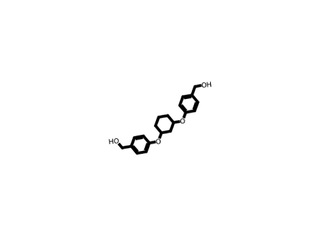 OCc1ccc(OC2CCCC(Oc3ccc(CO)cc3)C2)cc1